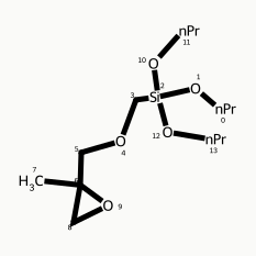 CCCO[Si](COCC1(C)CO1)(OCCC)OCCC